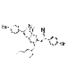 CCCCC(CC)Cc1cc(C=C(C#N)c2ccc(Br)cc2)c(OC)cc1C=C(C#N)c1ccc(Br)cc1